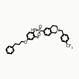 O=S(=O)(Nc1ccc(OCCCc2ccccc2)cc1F)c1ccc2c(c1)CCN(Cc1ccc(C(F)(F)F)cc1)C2